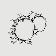 CC[C@H](C)[C@@H]1NC(=O)[C@H](C(C)C)NC(=O)[C@H](CC(=O)O)NC(=O)[C@H](CC(C)C)NC(=O)[C@H](CCSC)NC(=O)[C@@H]2CSCc3cc(cc(c3)OCCCCCCO/N=C/C(=O)N[C@@H](C)C(=O)N2)CSC[C@@H](C(N)=O)NC(=O)[C@H](CO)NC1=O